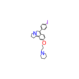 Ic1ccc(C2=c3ccc(OCCCN4CCCCC4)cc3=C3CCCN3C2)cc1